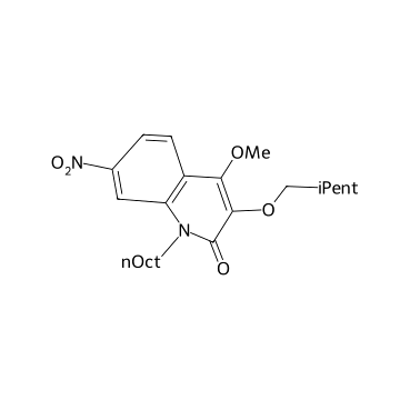 CCCCCCCCn1c(=O)c(OCC(C)CCC)c(OC)c2ccc([N+](=O)[O-])cc21